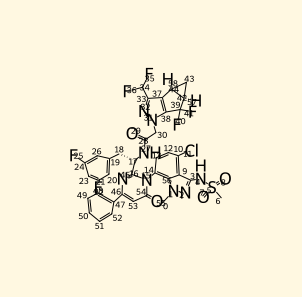 Cn1nc(NS(C)(=O)=O)c2c(Cl)ccc(-n3c([C@H](Cc4cc(F)cc(F)c4)NC(=O)Cn4nc(C(F)F)c5c4C(F)(F)[C@@H]4C[C@H]54)nc(-c4ccccc4)cc3=O)c21